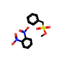 COS(=O)(=O)Cc1ccccc1.O=[N+]([O-])c1ccccc1[N+](=O)[O-]